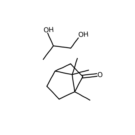 CC(O)CO.CC12CCC(CC1=O)C2(C)C